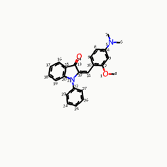 COc1cc(N(C)C)ccc1C=C1C(=O)c2ccccc2N1c1ccccc1